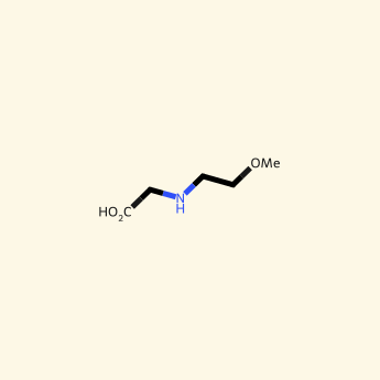 COCCNCC(=O)O